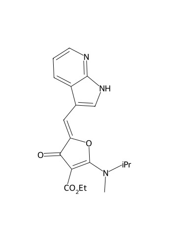 CCOC(=O)C1=C(N(C)C(C)C)OC(=Cc2c[nH]c3ncccc23)C1=O